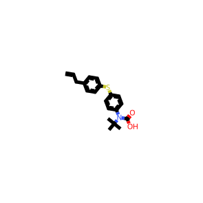 C=CCc1ccc(Sc2ccc(N(C(=O)O)C(C)(C)C)cc2)cc1